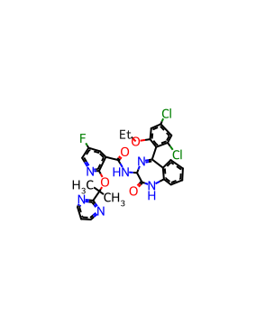 CCOc1cc(Cl)cc(Cl)c1C1=NC(NC(=O)c2cc(F)cnc2OC(C)(C)c2ncccn2)C(=O)Nc2ccccc21